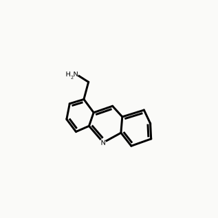 NCc1cccc2nc3ccccc3cc12